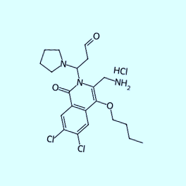 CCCCOc1c(CN)n(C(CC=O)N2CCCC2)c(=O)c2cc(Cl)c(Cl)cc12.Cl